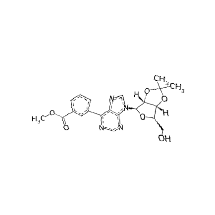 COC(=O)c1cccc(-c2ncnc3c2ncn3[C@@H]2O[C@H](CO)[C@H]3OC(C)(C)O[C@H]32)c1